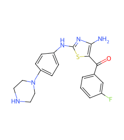 Nc1nc(Nc2ccc(N3CCNCC3)cc2)sc1C(=O)c1cccc(F)c1